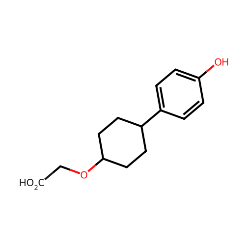 O=C(O)COC1CCC(c2ccc(O)cc2)CC1